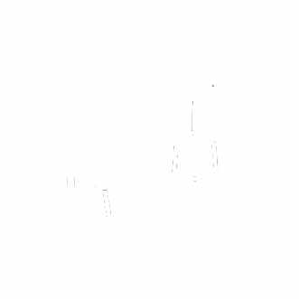 CC(C)(C)Cc1cccc(OCC(=O)O)c1